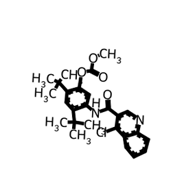 COC(=O)Oc1cc(NC(=O)c2cnc3ccccc3c2Cl)c(C(C)(C)C)cc1C(C)(C)C